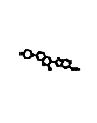 COC1=CN2C=C(c3cc4ccc(N5CCNCC5)cc4oc3=O)N=S2C=N1